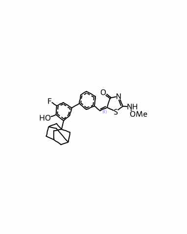 CONC1=NC(=O)/C(=C\c2cccc(-c3cc(F)c(O)c(C45CC6CC(CC(C6)C4)C5)c3)c2)S1